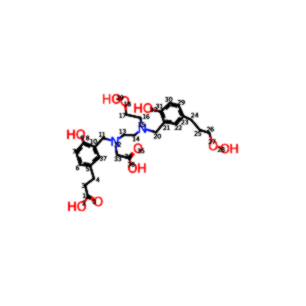 O=C(O)CCc1ccc(O)c(CN(CCN(CCOO)Cc2cc(CCCOO)ccc2O)CC(=O)O)c1